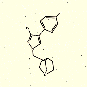 Sc1nn(CC2CN3CCC2CC3)cc1-c1ccc(Cl)cc1